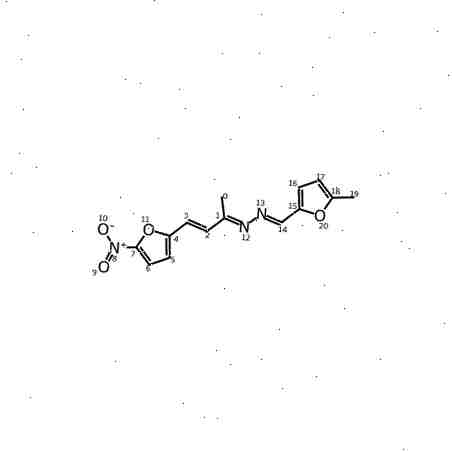 CC(/C=C/c1ccc([N+](=O)[O-])o1)=N\N=C\c1ccc(C)o1